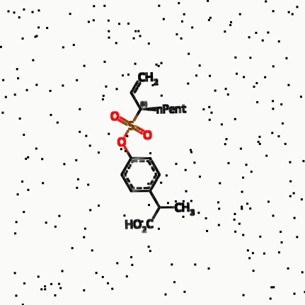 C=C[C@@H](CCCCC)S(=O)(=O)Oc1ccc(C(C)C(=O)O)cc1